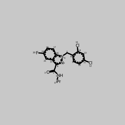 CC(C)NC(=O)c1nn(Cc2ccc(Cl)cc2Cl)c2ccc(F)cc12